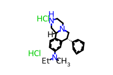 CCN(C)c1ccc2c(c1)[C@@H](c1ccccc1)CN1CCNC[C@@H]21.Cl.Cl